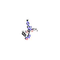 C=CC(=O)Nc1cc(CCc2cc(N3OCC[C@@H]3c3ccc4ccccc4c3)ncn2)c(OC)cc1N1CCC(N2CCN(C3CC3)CC2)CC1